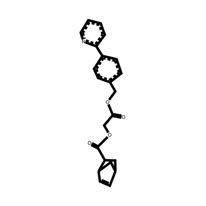 O=C(COC(=O)C1CC2C=CC1C2)OCc1ccc(-c2ccccn2)cc1